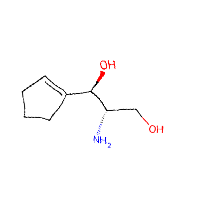 N[C@@H](CO)[C@H](O)C1=CCCC1